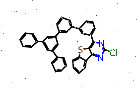 Clc1nc(-c2cccc(-c3cccc(-c4cc(-c5ccccc5)cc(-c5ccccc5)c4)c3)c2)c2sc3ccccc3c2n1